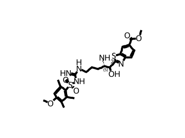 COC(=O)c1ccc2nc(C(O)[C@@H](N)CCCNC(=N)NS(=O)(=O)c3c(C)cc(OC)c(C)c3C)sc2c1